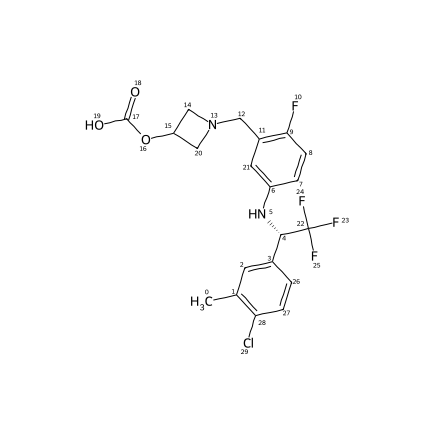 Cc1cc([C@H](Nc2ccc(F)c(CN3CC(OC(=O)O)C3)c2)C(F)(F)F)ccc1Cl